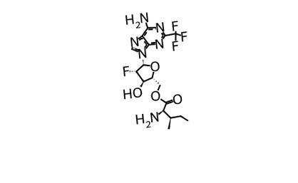 CC[C@@H](C)[C@@H](N)C(=O)OC[C@H]1O[C@@H](n2cnc3c(N)nc(C(F)(F)F)nc32)[C@@H](F)[C@@H]1O